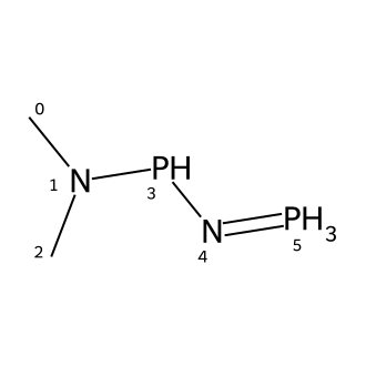 CN(C)PN=[PH3]